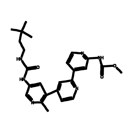 COC(=O)Nc1cc(-c2cc(-c3cc(NC(=O)NCCC(C)(C)C)cnc3C)ccn2)ccn1